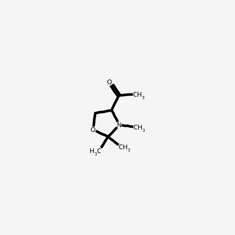 CC(=O)C1COC(C)(C)N1C